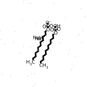 CCCCCCCCCCCCOS(=O)(=O)O.CCCCCCCCCCCCOS(=O)(=O)[O-].[Na+].[NaH]